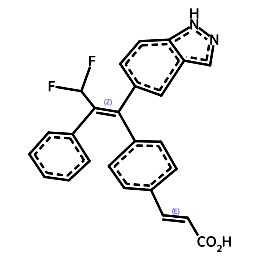 O=C(O)/C=C/c1ccc(/C(=C(\c2ccccc2)C(F)F)c2ccc3[nH]ncc3c2)cc1